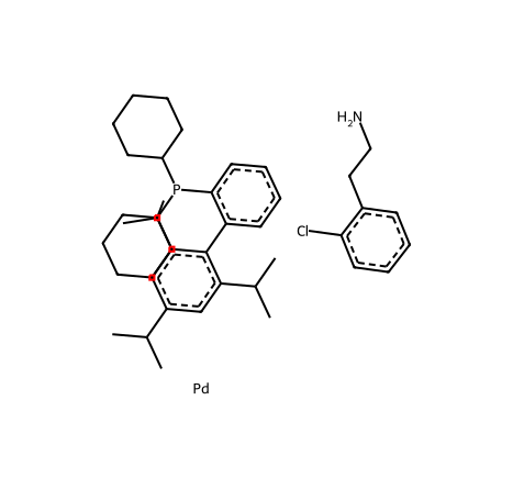 CC(C)c1cc(C(C)C)c(-c2ccccc2P(C2CCCCC2)C2CCCCC2)c(C(C)C)c1.NCCc1ccccc1Cl.[Pd]